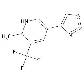 CC1NC=C(C2=CN=C=N2)C=C1C(F)(F)F